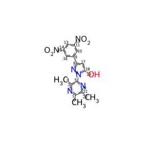 Cc1nc(C)c(-n2nc(-c3cc([N+](=O)[O-])cc([N+](=O)[O-])c3)cc2O)nc1C